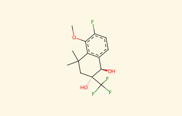 COc1c(F)ccc2c1C(C)(C)C[C@](O)(C(F)(F)F)[C@@H]2O